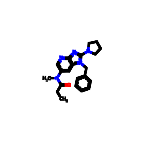 CCC(=O)N(C)c1cnc2nc(N3CCCC3)n(Cc3ccccc3)c2c1